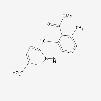 COC(=O)c1c(C)ccc(NN2C=CC=C(C(=O)O)C2)c1C